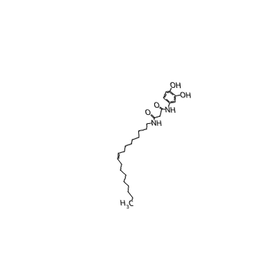 CCCCCCCC/C=C\CCCCCCCCNC(=O)CC(=O)Nc1ccc(O)c(O)c1